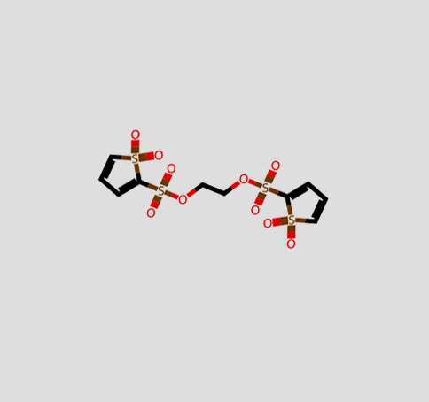 O=S1(=O)C=CC=C1S(=O)(=O)OCCOS(=O)(=O)C1=CC=CS1(=O)=O